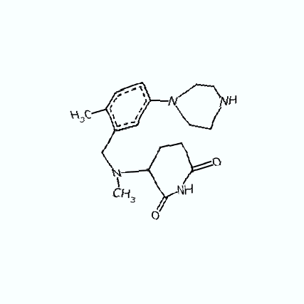 Cc1ccc(N2CCNCC2)cc1CN(C)C1CCC(=O)NC1=O